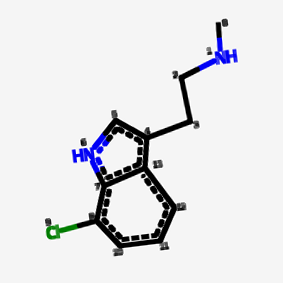 CNCCc1c[nH]c2c(Cl)cccc12